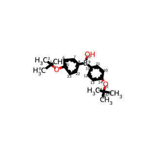 CC(C)(C)Oc1ccc(B(O)c2ccc(OC(C)(C)C)cc2)cc1